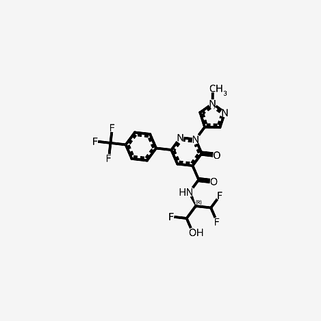 Cn1cc(-n2nc(-c3ccc(C(F)(F)F)cc3)cc(C(=O)N[C@H](C(O)F)C(F)F)c2=O)cn1